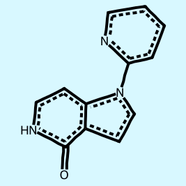 O=c1[nH]ccc2c1ccn2-c1ccccn1